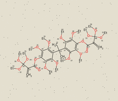 C=C(C(=O)Oc1c(OCC)c(OCC)c(C(C)(C)c2c(OCC)c(OCC)c(OC(=O)C(=C)C(OCC)(OCC)OCC)c(OCC)c2OCC)c(OCC)c1OCC)C(OCC)(OCC)OCC